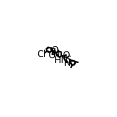 Cc1cc(C)c2nc(NC(=O)C3CCN(S(=O)(=O)c4cccc(Cl)c4)CC3)sc2c1